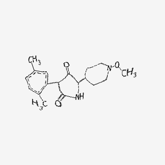 CON1CCC(C2NC(=O)C(c3cc(C)ccc3C)C2=O)CC1